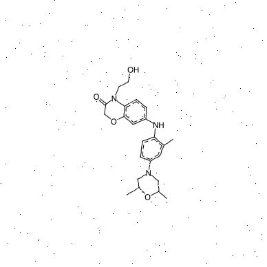 Cc1cc(N2CC(C)OC(C)C2)ccc1Nc1ccc2c(c1)OCC(=O)N2CCO